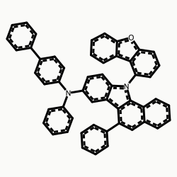 c1ccc(-c2ccc(N(c3ccccc3)c3ccc4c(c3)c3c(-c5ccccc5)cc5ccccc5c3n4-c3cccc4oc5ccccc5c34)cc2)cc1